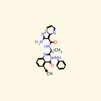 C#Cc1cccc2nc([C@@H](C)NC(=O)c3c(N)nn4cccnc34)n(Nc3ccccc3)c(=O)c12